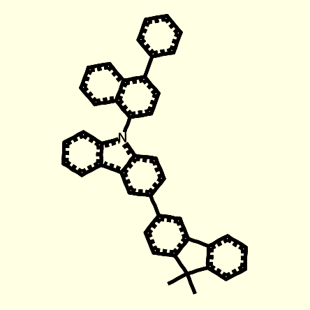 CC1(C)c2ccccc2-c2cc(-c3ccc4c(c3)c3ccccc3n4-c3ccc(-c4ccccc4)c4ccccc34)ccc21